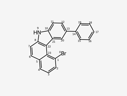 Brc1cccc2ccc3[nH]c4ccc(-c5ccccc5)cc4c3c12